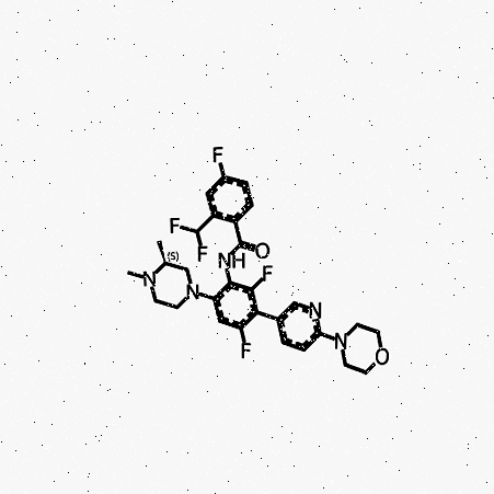 C[C@H]1CN(c2cc(F)c(-c3ccc(N4CCOCC4)nc3)c(F)c2NC(=O)c2ccc(F)cc2C(F)F)CCN1C